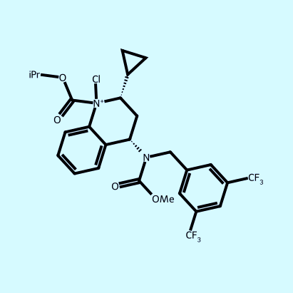 COC(=O)N(Cc1cc(C(F)(F)F)cc(C(F)(F)F)c1)[C@H]1C[C@@H](C2CC2)[N+](Cl)(C(=O)OC(C)C)c2ccccc21